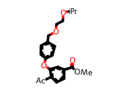 COC(=O)c1ccc(C(C)=O)c(Oc2ccc(COCCOC(C)C)cc2)c1